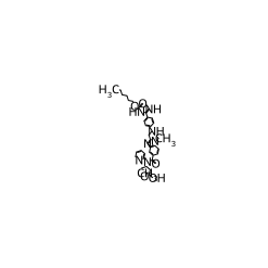 CCCCCCOC(=O)NC(=N)c1ccc(NCc2nc3cc(C(=O)N(c4ccccn4)C(CC)CC(=O)O)ccc3n2C)cc1